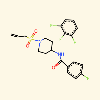 C=CCS(=O)(=O)N1CCC(NC(=O)c2ccc(F)cc2)CC1.Fc1cccc(F)c1F